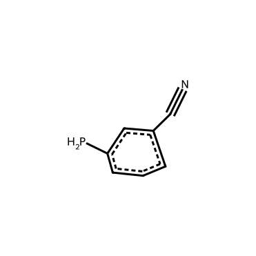 N#Cc1cccc(P)c1